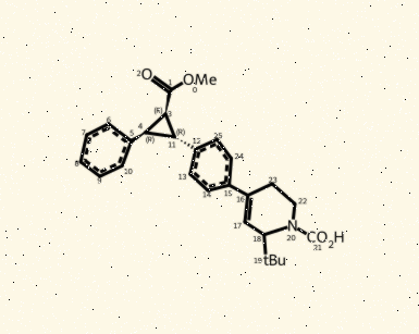 COC(=O)[C@@H]1[C@H](c2ccccc2)[C@H]1c1ccc(C2=CC(C(C)(C)C)N(C(=O)O)CC2)cc1